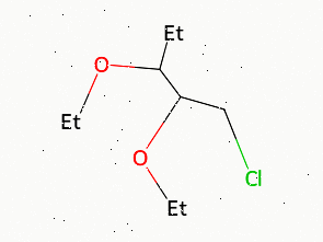 CCOC(CC)C(CCl)OCC